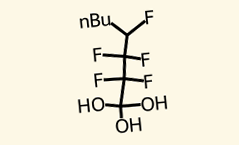 CCCCC(F)C(F)(F)C(F)(F)C(O)(O)O